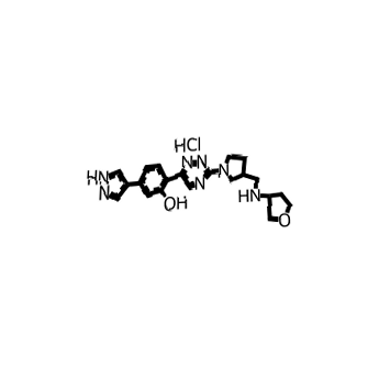 Cl.Oc1cc(-c2cn[nH]c2)ccc1-c1cnc(N2CCC(CNC3CCOC3)C2)nn1